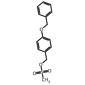 CS(=O)(=O)OCc1ccc(OCc2ccccc2)cc1